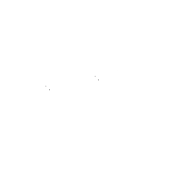 Cc1ccc2c(n1)/C(=N\O)CCO2